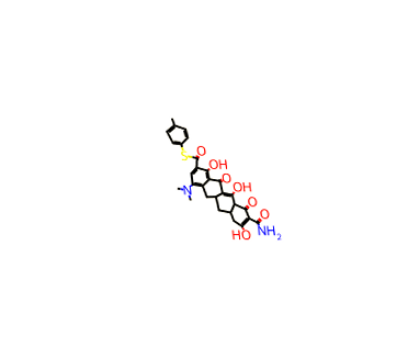 Cc1ccc(SC(=O)c2cc(N(C)C)c3c(c2O)C(=O)C2=C(O)C4C(=O)C(C(N)=O)=C(O)CC4CC2C3)cc1